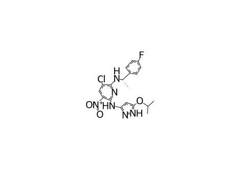 CC(C)Oc1cc(Nc2nc(N[C@@H](C)c3ccc(F)cc3)c(Cl)cc2[N+](=O)[O-])n[nH]1